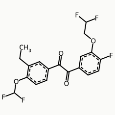 CCc1cc(C(=O)C(=O)c2ccc(F)c(OCC(F)F)c2)ccc1OC(F)F